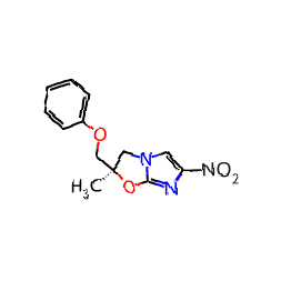 C[C@]1(COc2ccccc2)Cn2cc([N+](=O)[O-])nc2O1